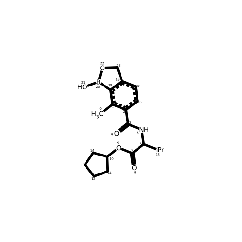 Cc1c(C(=O)NC(C(=O)OC2CCCC2)C(C)C)ccc2c1B(O)OC2